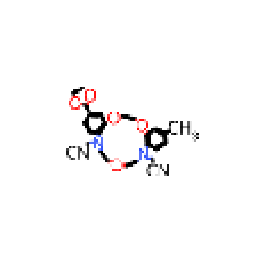 [C-]#[N+]CN1CCOCCN(CC#N)c2ccc(C)cc2OCCOc2cc(C3OCCO3)ccc21